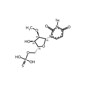 [2H]n1c(=O)ccn([C@@H]2O[C@H](COP(O)(O)=S)[C@@H](O)[C@H]2OC)c1=O